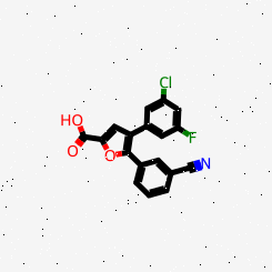 N#Cc1cccc(-c2oc(C(=O)O)cc2-c2cc(F)cc(Cl)c2)c1